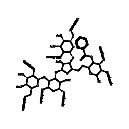 CCC1O[C@@H](OC[C@H]2O[C@@H](O[C@@H]3C(OC(C)=O)[C@H](N=[N+]=[N-])CC(N=[N+]=[N-])[C@H]3O[C@H]3OC(CN=[N+]=[N-])[C@@H](OC(C)=O)[C@H](OC(C)=O)C3N=[N+]=[N-])C(OC(C)=O)[C@H]2O[C@H]2O[C@@H](CN=[N+]=[N-])[C@@H](OC(C)=O)C(OC(C)=O)C2N=[N+]=[N-])C(OC(=O)c2ccccc2)[C@@H](N=[N+]=[N-])[C@H]1N=[N+]=[N-]